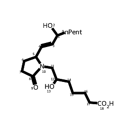 CCCCCC(O)C=CC1CCC(=O)N1CC(O)CCCCC(=O)O